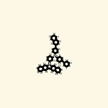 c1ccc(-c2ccc(N(c3ccc(-c4ccc5ccccc5c4)cc3)c3cccc(-n4c5cc6ccccc6cc5c5cc6ccccc6cc54)c3)cc2)cc1